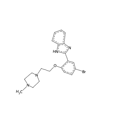 CN1CCN(CCOc2ccc(Br)cc2-c2nc3ccccc3[nH]2)CC1